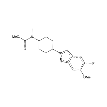 COC(=O)N(C)C1CCC(n2cc3cc(Br)c(OC)cc3n2)CC1